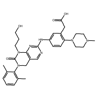 Cc1cccc(C)c1N1Cc2cnc(Nc3ccc(N4CCN(C)CC4)c(CC(=O)O)c3)nc2N(CCCO)C1=O